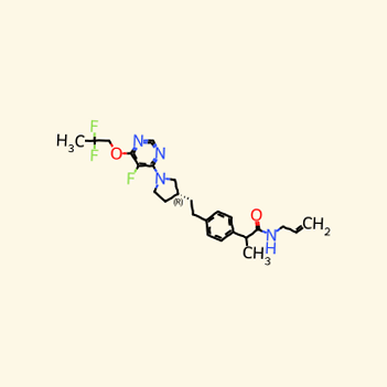 C=CCNC(=O)C(C)c1ccc(CC[C@@H]2CCN(c3ncnc(OCC(C)(F)F)c3F)C2)cc1